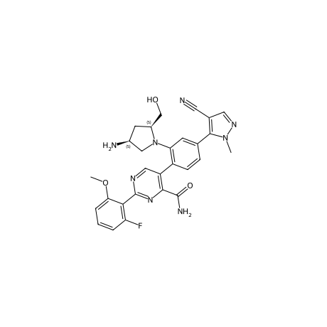 COc1cccc(F)c1-c1ncc(-c2ccc(-c3c(C#N)cnn3C)cc2N2C[C@@H](N)C[C@H]2CO)c(C(N)=O)n1